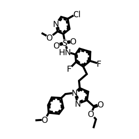 CCOC(=O)c1cc(CCc2c(F)ccc(NS(=O)(=O)c3cc(Cl)cnc3OC)c2F)n(Cc2ccc(OC)cc2)n1